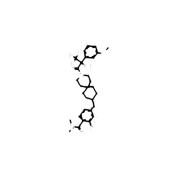 COc1cccc(C(O)(C(=O)N2CCC3(CCC(Cc4ccc(C(=O)N(C)C)c(Cl)c4)CC3)CC2)C(F)(F)F)c1